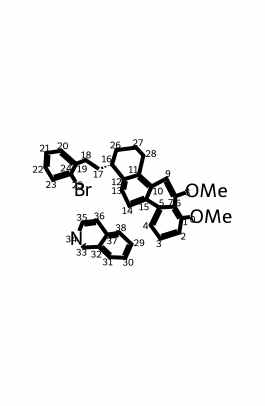 COc1cccc2c1c(OC)cc1c3c(ccc12)[C@H](CCc1ccccc1Br)CCC3.c1ccc2cnccc2c1